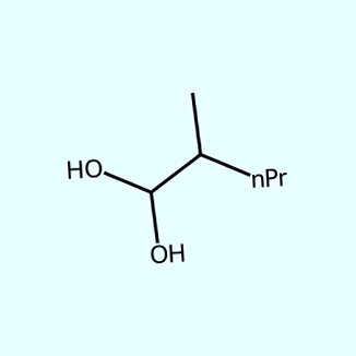 CCCC(C)C(O)O